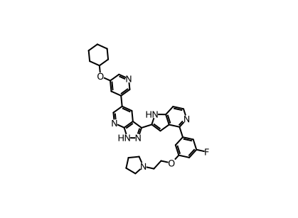 Fc1cc(OCCN2CCCC2)cc(-c2nccc3[nH]c(-c4n[nH]c5ncc(-c6cncc(OC7CCCCC7)c6)cc45)cc23)c1